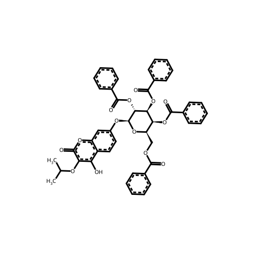 CC(C)Oc1c(O)c2ccc(O[C@@H]3O[C@H](COC(=O)c4ccccc4)[C@H](OC(=O)c4ccccc4)[C@H](OC(=O)c4ccccc4)[C@H]3OC(=O)c3ccccc3)cc2oc1=O